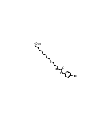 CCCCCCCCCCCCCCCCCCSCCCNC(=O)Nc1ccc(O)cc1